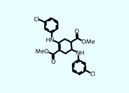 COC(=O)C1=C(Nc2cccc(Cl)c2)CC(C(=O)OC)C(Nc2cccc(Cl)c2)C1